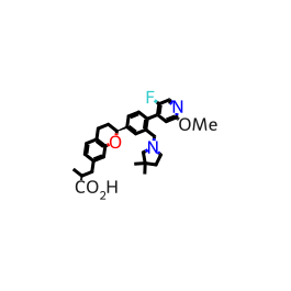 COc1cc(-c2ccc([C@@H]3CCc4ccc(C[C@H](C)C(=O)O)cc4O3)cc2CN2CCC(C)(C)C2)c(F)cn1